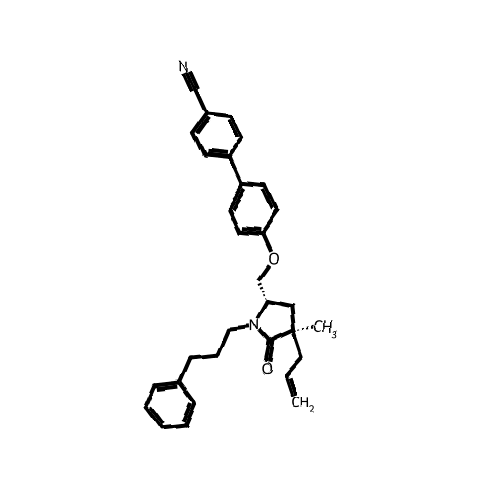 C=CC[C@]1(C)C[C@@H](COc2ccc(-c3ccc(C#N)cc3)cc2)N(CCCc2ccccc2)C1=O